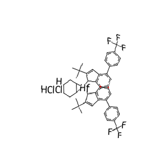 CC(C)(C)C1=Cc2c(-c3ccc(C(F)(F)F)cc3)cccc2[CH]1[Hf]1([CH]2C(C(C)(C)C)=Cc3c(-c4ccc(C(F)(F)F)cc4)cccc32)[CH]2CCCC[CH]21.Cl.Cl